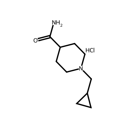 Cl.NC(=O)C1CCN(CC2CC2)CC1